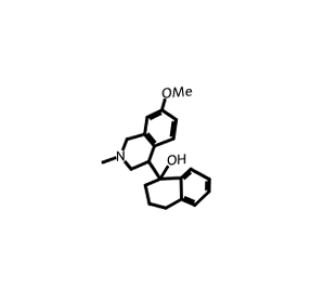 COc1ccc2c(c1)CN(C)CC2C1(O)CCCc2ccccc21